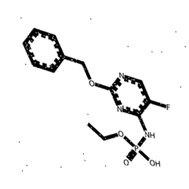 CCOP(=O)(O)Nc1nc(OCc2ccccc2)ncc1F